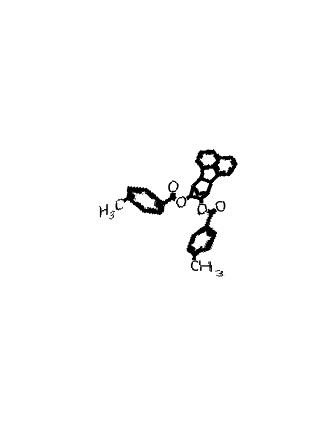 Cc1ccc(C(=O)OC2C3CC(C2OC(=O)c2ccc(C)cc2)C2c4cccc5cccc(c45)C32)cc1